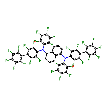 Fc1c(F)c(F)c(-c2c(F)c(F)c(N(c3cccc4c3C=CCC4N(c3c(F)c(F)c(F)c(F)c3F)c3c(F)c(F)c(-c4c(F)c(F)c(F)c(F)c4F)c(F)c3F)c3c(F)c(F)c(F)c(F)c3F)c(F)c2F)c(F)c1F